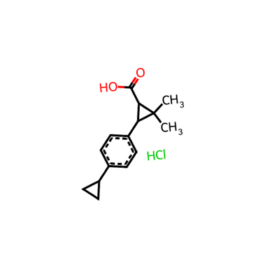 CC1(C)C(C(=O)O)C1c1ccc(C2CC2)cc1.Cl